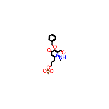 CNn1c(CCCOS(C)(=O)=O)cc(=O)c(OCc2ccccc2)c1C=O